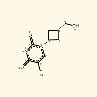 O=c1[nH]c(=O)n([C@H]2C[C@@H](CO)C2)cc1F